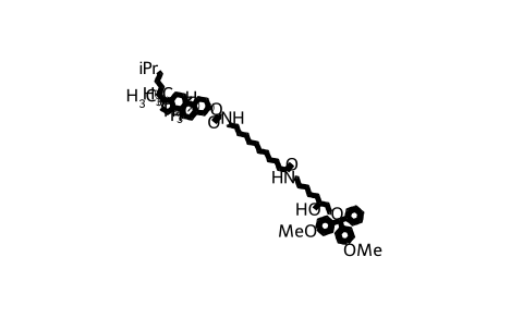 COc1ccc(C(OCCC(O)CCCCCNC(=O)CCCCCCCCCCCNC(=O)O[C@H]2CC[C@@]3(C)C(=CC[C@H]4[C@@H]5CC[C@H]([C@H](C)CCCC(C)C)[C@@]5(C)CC[C@@H]43)C2)(c2ccccc2)c2ccc(OC)cc2)cc1